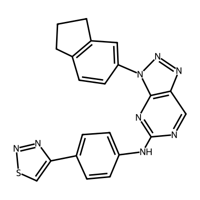 c1cc(-c2csnn2)ccc1Nc1ncc2nnn(-c3ccc4c(c3)CCC4)c2n1